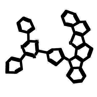 c1ccc(-c2nc(-c3ccccc3)nc(-c3ccc(-n4c5ccccc5c5ccc6c7ccc8ccccc8c7oc6c54)cc3)n2)cc1